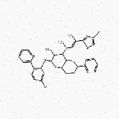 COC1C(Sc2cc(Cl)cnc2-c2ccccn2)OC2COC(c3ccccc3)OC2C1N(N)/C=C(\N)c1nc(Cl)cs1